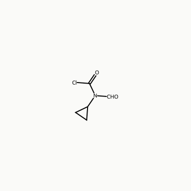 O=CN(C(=O)Cl)C1CC1